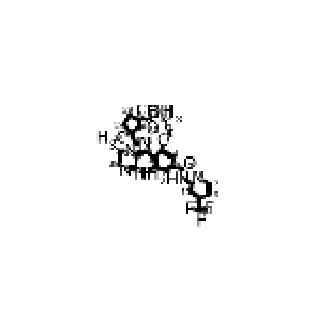 CCOc1cc(C(=O)Nc2cc(C(F)(F)F)ccn2)cc(F)c1-c1nc([C@@]2(C)CC[C@](C)(C(=O)O)C2)n2ccnc(N)c12